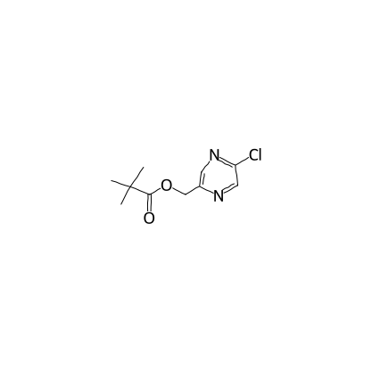 CC(C)(C)C(=O)OCc1cnc(Cl)cn1